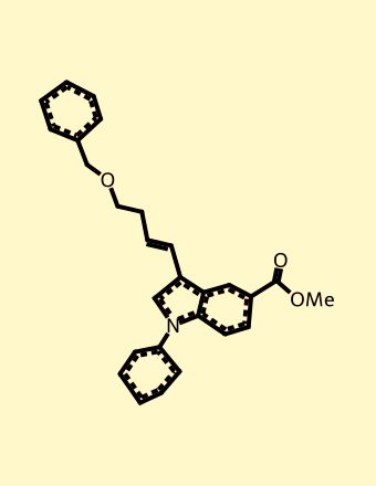 COC(=O)c1ccc2c(c1)c(C=CCCOCc1ccccc1)cn2-c1ccccc1